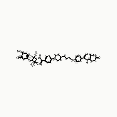 CC1(C)[C@H](NC(=O)c2ccc(N3CCN(CCCOc4ccc(C(=O)NC5CCC(=O)NC5=O)nc4)CC3)nc2)C(C)(C)[C@H]1Oc1ccc(C#N)c(Cl)c1